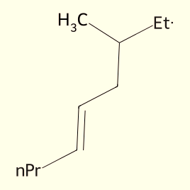 C[CH]C(C)CC=CCCC